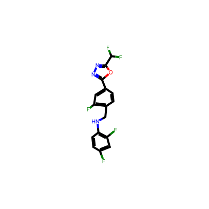 Fc1ccc(NCc2ccc(-c3nnc(C(F)F)o3)cc2F)c(F)c1